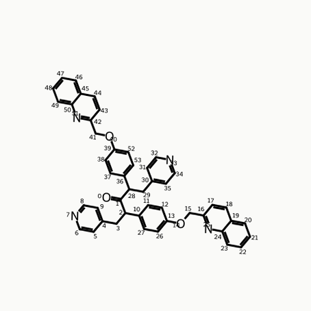 O=C(C(Cc1ccncc1)c1ccc(OCc2ccc3ccccc3n2)cc1)C(Cc1ccncc1)c1ccc(OCc2ccc3ccccc3n2)cc1